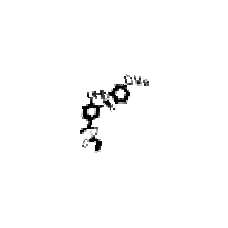 C=CC(=O)OC(C)c1ccc(O)c(-n2nc3ccc(OC)cc3n2)c1